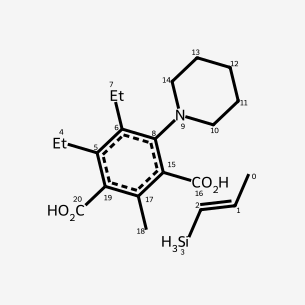 CC=C[SiH3].CCc1c(CC)c(N2CCCCC2)c(C(=O)O)c(C)c1C(=O)O